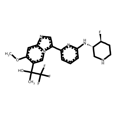 COc1cc2ncc(-c3cccc(N[C@H]4CNCC[C@@H]4F)n3)n2cc1C(C)(O)C(F)(F)F